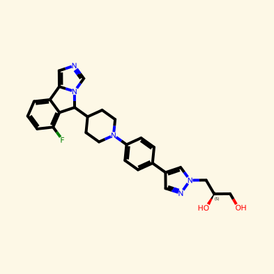 OC[C@@H](O)Cn1cc(-c2ccc(N3CCC(C4c5c(F)cccc5-c5cncn54)CC3)cc2)cn1